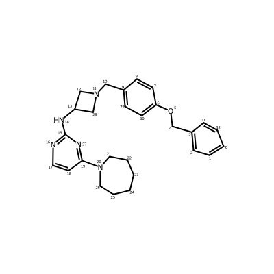 c1ccc(COc2ccc(CN3CC(Nc4nccc(N5CCCCCC5)n4)C3)cc2)cc1